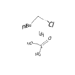 CCCCCCl.O=S(O)O.[LiH]